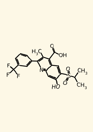 Cc1c(-c2cccc(C(F)(F)F)c2)nc2cc(O)c(S(=O)(=O)C(C)C)cc2c1C(=O)O